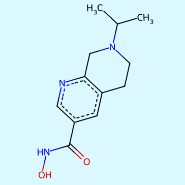 CC(C)N1CCc2cc(C(=O)NO)cnc2C1